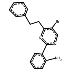 Nc1ccccc1-c1ncc(Br)c(CCc2ccccc2)n1